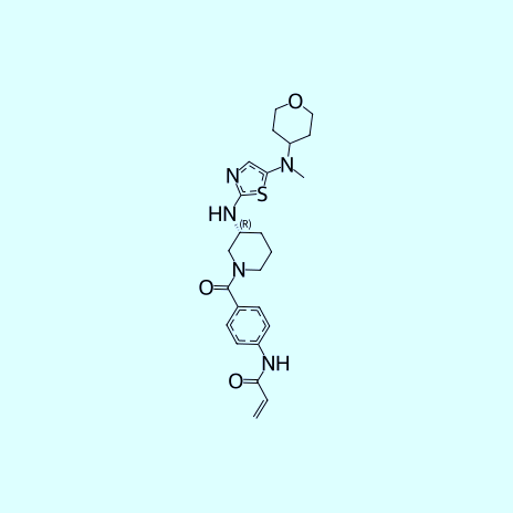 C=CC(=O)Nc1ccc(C(=O)N2CCC[C@@H](Nc3ncc(N(C)C4CCOCC4)s3)C2)cc1